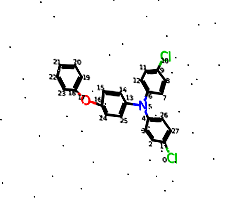 Clc1ccc(N(c2ccc(Cl)cc2)c2ccc(Oc3ccccc3)cc2)cc1